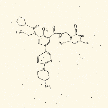 CCN(C(=O)C1CCCC1)c1cc(-c2ccc(N3CCC(N)CC3)nc2)cc(C(=O)NCc2c(C)cc(C)[nH]c2=O)c1C